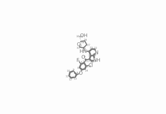 O=C(c1c(F)cc(Oc2ccccc2)cc1Cl)c1c[nH]c2nccc(N[C@@H]3CC[C@@H](CO)OC3)c12